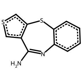 NC1=Nc2ccccc2Sc2cscc21